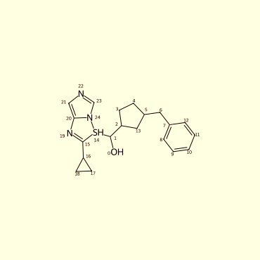 OC(C1CCC(Cc2ccccc2)C1)[SH]1C(C2CC2)=Nc2cncn21